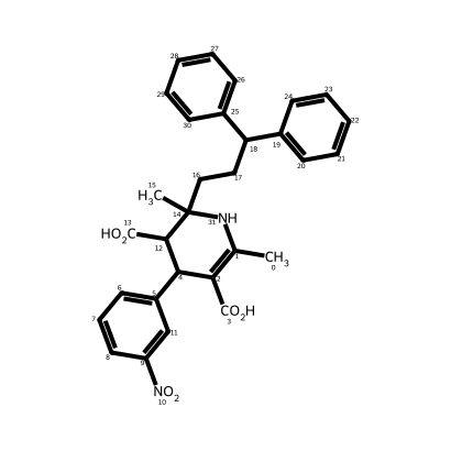 CC1=C(C(=O)O)C(c2cccc([N+](=O)[O-])c2)C(C(=O)O)C(C)(CCC(c2ccccc2)c2ccccc2)N1